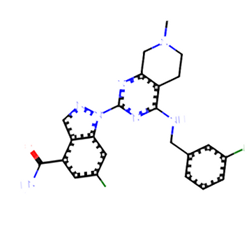 CN1CCc2c(nc(-n3ncc4c(C(N)=O)cc(F)cc43)nc2NCc2cccc(F)c2)C1